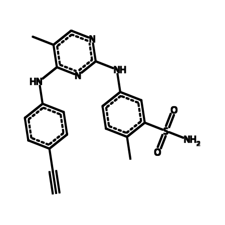 C#Cc1ccc(Nc2nc(Nc3ccc(C)c(S(N)(=O)=O)c3)ncc2C)cc1